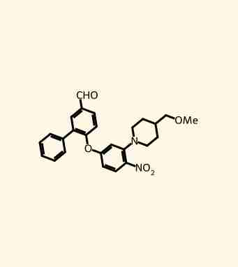 COCC1CCN(c2cc(Oc3ccc(C=O)cc3-c3ccccc3)ccc2[N+](=O)[O-])CC1